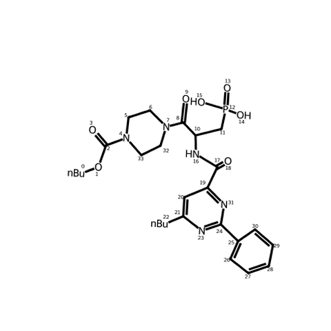 CCCCOC(=O)N1CCN(C(=O)C(CP(=O)(O)O)NC(=O)c2cc(CCCC)nc(-c3ccccc3)n2)CC1